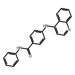 O=C(Nc1ccccc1)c1ccc(Nc2ccnc3ccccc23)cc1